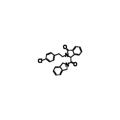 O=C(C1c2ccccc2C(=O)N1CCc1ccc(Cl)cc1)N1Cc2ccccc2C1